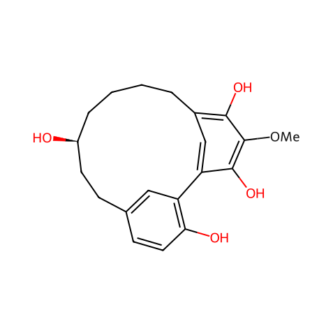 COc1c(O)c2cc(c1O)-c1cc(ccc1O)CC[C@@H](O)CCCC2